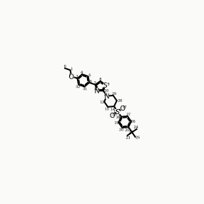 CCOc1ccc(-c2csc(N3CCC(S(=O)(=O)c4ccc(C(C)(C)C)cc4)CC3)n2)cc1